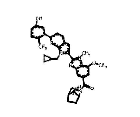 COc1cc(C(=O)N2CC3CCC2[C@@H]3N)cc2nc(-c3cc4ccc(-c5cc(O)ccc5C)nc4n3CC3CC3)n(C)c12